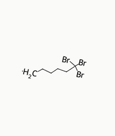 [CH2]CCCCC(Br)(Br)Br